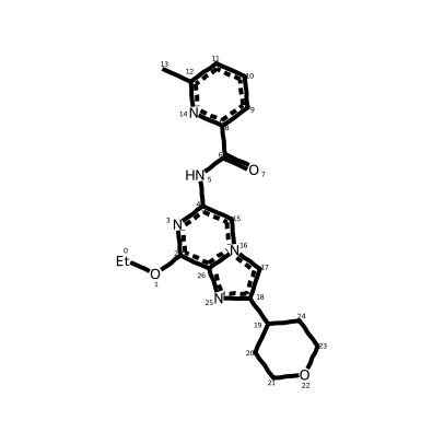 CCOc1nc(NC(=O)c2cccc(C)n2)cn2cc(C3CCOCC3)nc12